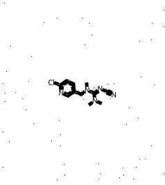 CN(C)/C(=N\C#N)N(C)Cc1ccc(Cl)nc1